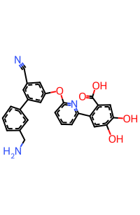 N#Cc1cc(Oc2cccc(-c3cc(O)c(O)cc3C(=O)O)n2)cc(-c2cccc(CN)c2)c1